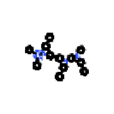 c1ccc(-c2ccc3c(c2)c2cc(-c4ccc5c(c4)c4cc(-c6ccccc6)ccc4n5-c4nc(-c5ccccc5)nc(-c5ccccc5)n4)ccc2n3-c2ccc3c(c2)c2cc(-c4ccccc4)ccc2n3-c2ccccc2)cc1